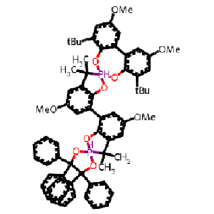 COc1cc2c(c(C(C)(C)C)c1)O[PH]1(Oc3c-2cc(OC)cc3C(C)(C)C)Oc2c(-c3cc(OC)cc4c3O[PH]3(OC(c5ccccc5)(c5ccccc5)C(c5ccccc5)(c5ccccc5)O3)C4(C)C)cc(OC)cc2C1(C)C